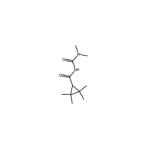 CN(C)C(=O)NC(=O)C1C(C)(C)C1(C)C